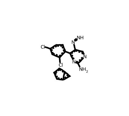 N=Nc1cnc(N)nc1-c1ccc(Cl)cc1Cl.c1cc2cc-2c1